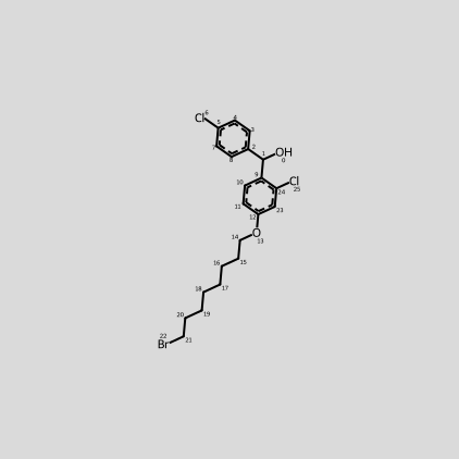 OC(c1ccc(Cl)cc1)c1ccc(OCCCCCCCCBr)cc1Cl